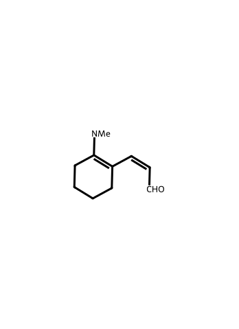 CNC1=C(/C=C\C=O)CCCC1